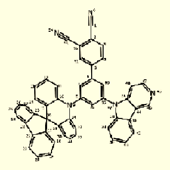 N#Cc1ccc(-c2cc(N3c4ccccc4C4(c5ccccc5-c5ccccc54)c4ccccc43)cc(-n3c4ccccc4c4cnccc43)c2)cc1C#N